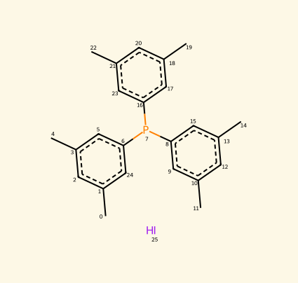 Cc1cc(C)cc(P(c2cc(C)cc(C)c2)c2cc(C)cc(C)c2)c1.I